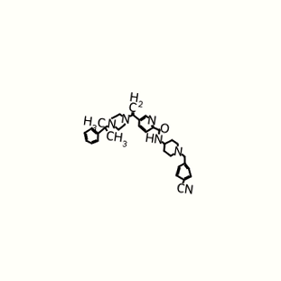 C=C(c1ccc(C(=O)NC2CCN(Cc3ccc(C#N)cc3)CC2)nc1)N1CCN(C(C)(C)c2ccccc2)CC1